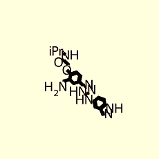 CC(C)NC(=O)COC1=CC=C(c2nnc(Nc3ccc4[nH]ncc4c3)[nH]2)CC1CN